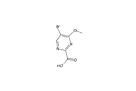 COc1nc(C(=O)O)ncc1Br